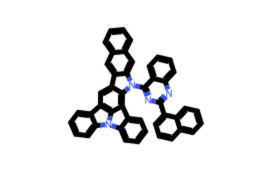 c1ccc2cc3c(cc2c1)c1cc2c4ccccc4n4c5ccccc5c(c1n3-c1nc(-c3cccc5ccccc35)nc3ccccc13)c24